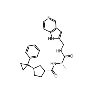 C[C@H](NC(=O)[C@@H]1CC[C@@H](C2(c3ccccc3)CC2)C1)C(=O)NCc1cc2cnccc2[nH]1